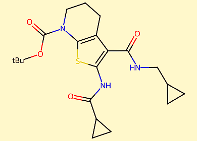 CC(C)(C)OC(=O)N1CCCc2c1sc(NC(=O)C1CC1)c2C(=O)NCC1CC1